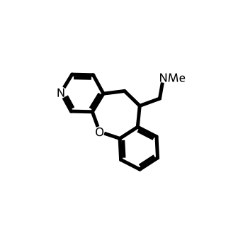 CNCC1Cc2ccncc2Oc2ccccc21